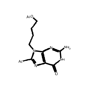 CC(=O)OCCCCn1c(C(C)=O)nc2c(=O)[nH]c(N)nc21